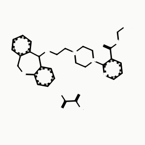 CCOC(=O)c1cccnc1N1CCN(CCOC2c3ccccc3CSc3ccccc32)CC1.O.O=C(O)C(=O)O